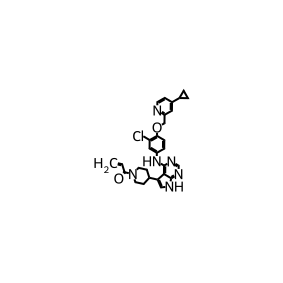 C=CC(=O)N1CCC(c2c[nH]c3ncnc(Nc4ccc(OCc5cc(C6CC6)ccn5)c(Cl)c4)c23)CC1